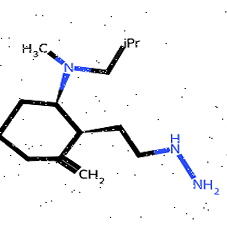 C=C1CCC[C@@H](N(C)CC(C)C)[C@H]1CCNN